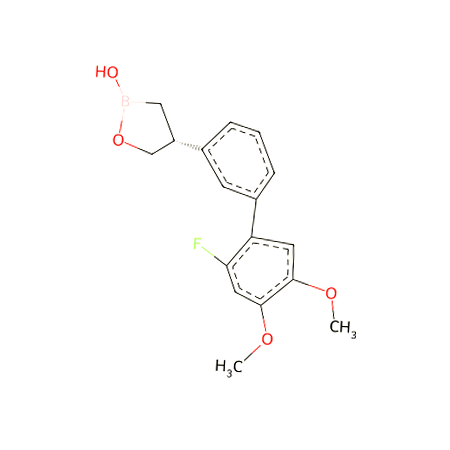 COc1cc(F)c(-c2cccc([C@@H]3COB(O)C3)c2)cc1OC